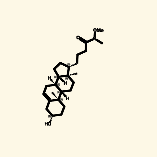 CON(C)C(=O)CCC[C@H]1CC[C@H]2[C@@H]3CC=C4C[C@@H](O)CC[C@]4(C)[C@H]3CC[C@]12C